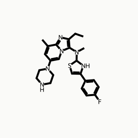 CCc1nc2c(C)cc(N3CCNCC3)cn2c1N(C)C1NC(c2ccc(F)cc2)=CS1